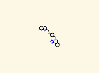 c1ccc(-c2nnn[nH]2)c(CCCc2ccc(OCc3ccc4ccccc4n3)cc2)c1